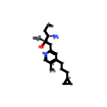 CSC[C@H](N)[C@](O)(Cc1cc(CCCC2CC2)c(C)cn1)C(=O)O